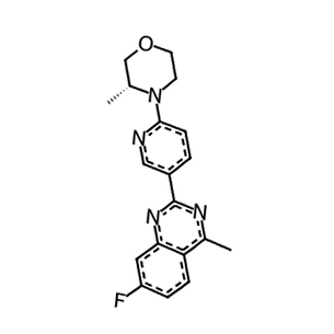 Cc1nc(-c2ccc(N3CCOC[C@H]3C)nc2)nc2cc(F)ccc12